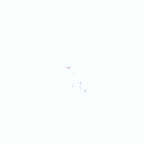 C=CC(CC(=O)OCC)c1csc(Br)n1